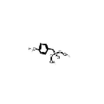 COP(=O)(Cc1ccc(C)cc1)OC